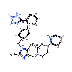 CCCc1nc(CN2CCN(c3ccccn3)CC2)c(C(=O)O)n1Cc1ccc(-c2ccccc2-c2nnn[nH]2)cc1